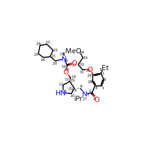 CCc1ccc(C(=O)N(C[C@@H]2CNC[C@H]2COC(=O)N(C)CC2CCCCC2)C(C)C)cc1OCCCOC